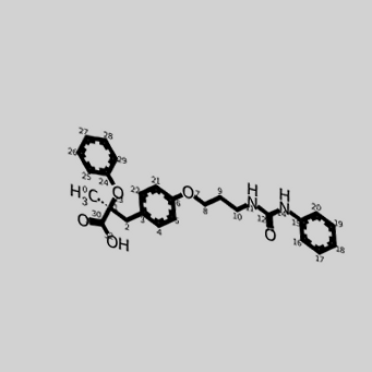 C[C@@](Cc1ccc(OCCCNC(=O)Nc2ccccc2)cc1)(Oc1ccccc1)C(=O)O